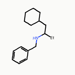 CCC(CC1CCCCC1)NCc1ccccc1